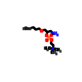 CCCCCCCCCCCCCOCC(CN)OP(=O)([O-])OCC[N+](C)(C)C